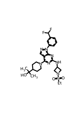 CCS(=O)(=O)N1CC(Nc2nc(N3CCC(C(C)(C)O)CC3)c3cnn(-c4cccc(C(F)F)c4)c3n2)C1